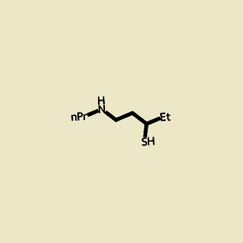 CCCNCCC(S)CC